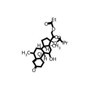 CCC(=O)OCC(=O)[C@@]1(OC(=O)C(C)C)CC[C@H]2[C@@H]3CC(C)C4=CC(=O)CC[C@]4(C)[C@H]3C(O)C[C@@]21C